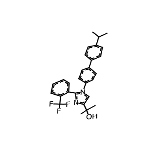 CC(C)c1ccc(-c2ccc(-n3cc(C(C)(C)O)nc3-c3ccccc3C(F)(F)F)cc2)cc1